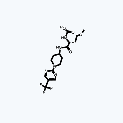 CSCC[C@@H](NC(=O)O)C(=O)NC1CCN(c2ncc(C(F)(F)F)cn2)CC1